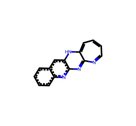 C1=CC=C2Nc3cc4ccccc4nc3N=C2N=C1